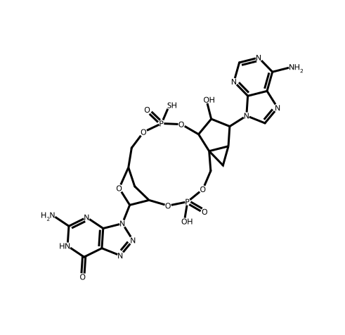 Nc1nc2c(nnn2C2OC3COP(=O)(S)OC4C(O)C(n5cnc6c(N)ncnc65)C5CC54COP(=O)(O)OC2C3)c(=O)[nH]1